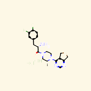 C[C@@H]1SCc2ncnc(N3CCN(C(=O)[C@H](N)Cc4ccc(Cl)c(F)c4)C[C@@H]3C)c21.Cl.Cl